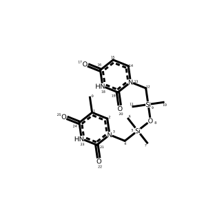 Cc1cn(C[Si](C)(C)O[Si](C)(C)Cn2ccc(=O)[nH]c2=O)c(=O)[nH]c1=O